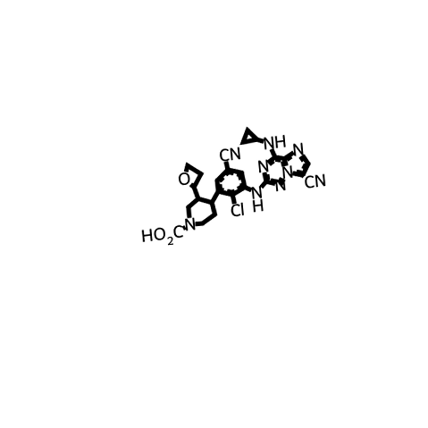 N#Cc1cc(Nc2nc(NC3CC3)c3ncc(C#N)n3n2)c(Cl)c(C2CCN(C(=O)O)CC2C2CCO2)c1